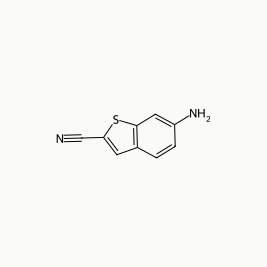 N#Cc1cc2ccc(N)cc2s1